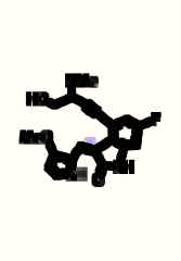 CNC(C#Cc1cc(F)cc2c1/C(=C/c1[nH]ccc1OC)C(=O)N2)CO